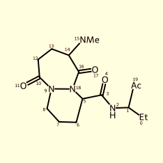 CCC(NC(=O)C1CCCN2C(=O)CCC(NC)C(=O)N12)C(C)=O